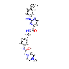 CCN1CCN(CC(=O)Nc2ccc(CCNC(=O)c3ccnc(Nc4ccc(OC)cc4)n3)cc2)CC1